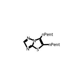 CCCCCc1sc2ncnn2c1CCCCC